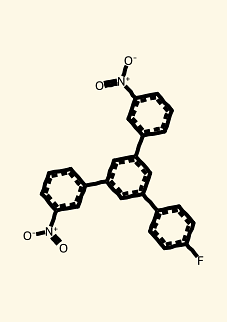 O=[N+]([O-])c1cccc(-c2cc(-c3ccc(F)cc3)cc(-c3cccc([N+](=O)[O-])c3)c2)c1